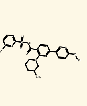 CC1CCCN(c2nc(-c3ccc(OC(C)C)nc3)ccc2C(=O)NS(=O)(=O)c2cccc(N)n2)C1